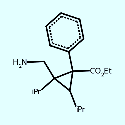 CCOC(=O)C1(c2ccccc2)C(C(C)C)C1(CN)C(C)C